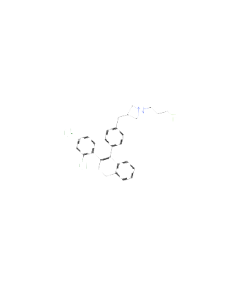 FCCCN1CC(Cc2ccc(C3=C(c4ccc(Cl)cc4Cl)CCc4ccccc43)cc2)C1